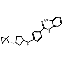 CC1(CN2CCC(Nc3ccc(C(=O)Nc4ccccc4N)cc3)C2)CC1